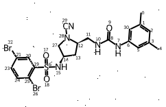 Cc1cc(C)cc(NC(=O)NC[C@H]2C[C@@H](NS(=O)(=O)c3cc(Br)ccc3Br)CN2C#N)c1